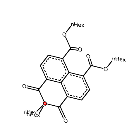 CCCCCCOC(=O)c1ccc(C(=O)OCCCCCC)c2c(C(=O)OCCCCCC)ccc(C(=O)OCCCCCC)c12